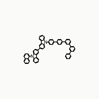 c1ccc(-c2cccc(-c3cccc(-c4ccc(-c5ccc(-n6c7ccccc7c7cc(-c8ccc9c(c8)c8ccccc8n9-c8cccc9ccccc89)ccc76)cc5)cc4)c3)c2)cc1